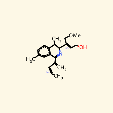 C=C(/C=C\C)C1=NC(/C(=C/CO)COC)C(C)c2ccc(C)cc21